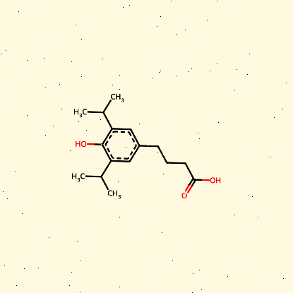 CC(C)c1cc(CCCC(=O)O)cc(C(C)C)c1O